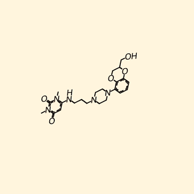 Cn1c(NCCCN2CCN(c3cccc4c3OCC(CO)O4)CC2)cc(=O)n(C)c1=O